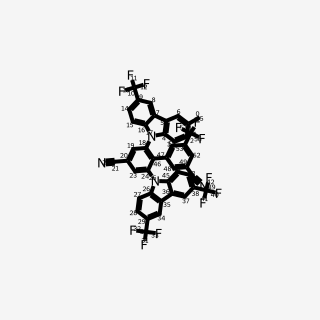 Cc1ccc2c(c1)c1cc(C(F)(F)F)ccc1n2-c1cc(C#N)cc(-n2c3ccc(C(F)(F)F)cc3c3cc(C(F)(F)F)ccc32)c1-c1cc(C#N)cc(C(F)(F)F)c1